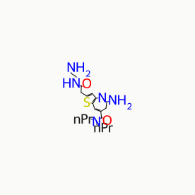 CCCN(CCC)C(=O)C1=Cc2sc(CC(=O)NCCN)cc2N=C(N)C1